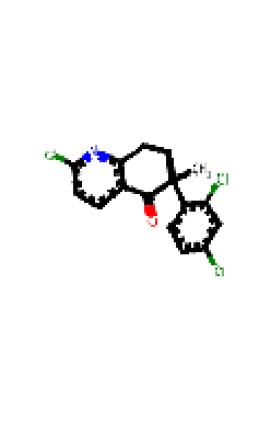 CC1(c2ccc(Cl)cc2Cl)CCc2nc(Cl)ccc2C1=O